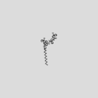 CCCCCCCCCCCCOCC(COC(C)=O)OC(=O)CCC(=O)OCC(C)OC(C)=O